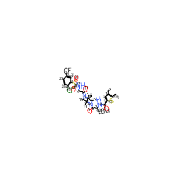 Cc1cc(C(=O)N[C@H](C(=O)N2C[C@H]3N(C(=O)CNS(=O)(=O)c4cc(C(F)(F)F)ccc4Cl)CC32C)C(C)(C)C)sc1C